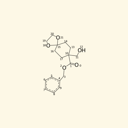 O=C(OCc1ccccc1)C1(CO)CCC2(CC1)OCCO2